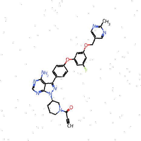 C#CC(=O)N1CCC[C@@H](n2nc(-c3ccc(Oc4cc(F)cc(OCc5cnc(C)nc5)c4)cc3)c3c(N)ncnc32)C1